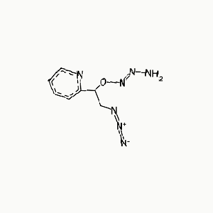 [N-]=[N+]=NCC(ON=NN)c1ccccn1